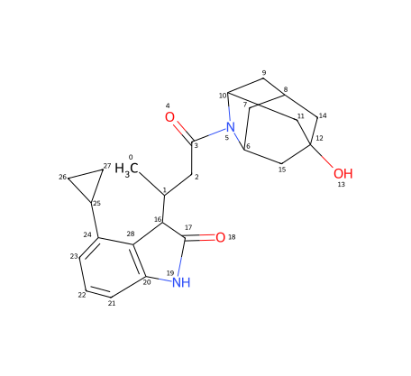 CC(CC(=O)N1C2CC3CC1CC(O)(C3)C2)C1C(=O)Nc2cccc(C3CC3)c21